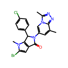 Cc1cc(N2C(=O)c3cc(Br)n(C)c3C2c2ccc(Cl)cc2)cn2c(C)nnc12